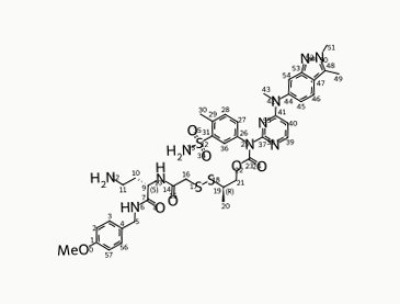 COc1ccc(CNC(=O)[C@H](CCN)NC(=O)CSS[C@H](C)COC(=O)N(c2ccc(C)c(S(N)(=O)=O)c2)c2nccc(N(C)c3ccc4c(C)n(C)nc4c3)n2)cc1